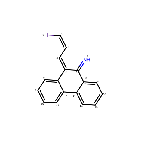 N=C1/C(=C\C=C/I)c2ccccc2-c2ccccc21